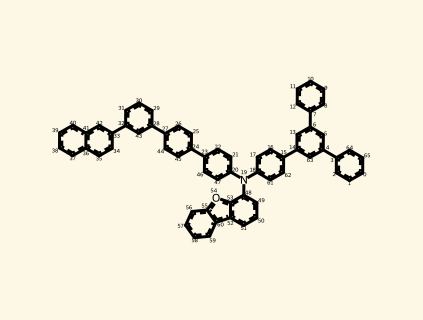 c1ccc(-c2cc(-c3ccccc3)cc(-c3ccc(N(c4ccc(-c5ccc(-c6cccc(-c7ccc8ccccc8c7)c6)cc5)cc4)c4cccc5c4oc4ccccc45)cc3)c2)cc1